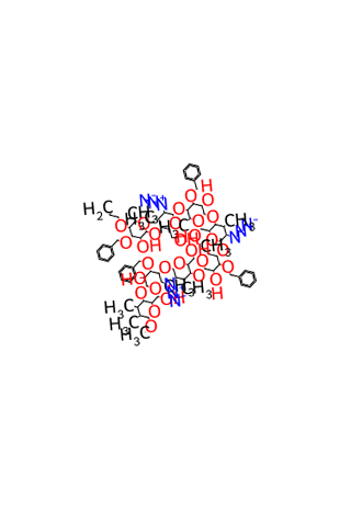 C=CCO[C@@H]1C(C)O[C@@H](O[C@@H]2C(CO)O[C@@H](O[C@H]3C(C)O[C@@H](O[C@@H]4C(CO)O[C@@H](OC5C(C)O[C@@H](O[C@@H]6C(CO)O[C@@H](O[C@@H]7C(C)O[C@@H](O[C@@H]8C(CO)O[C@@H](OC)C(C)[C@H]8C)C(O)[C@@H]7OCc7ccccc7)C(N=[N+]=[N-])[C@H]6C)C(O)[C@@H]5OCc5ccccc5)C(N=[N+]=[N-])[C@H]4C)C(O)[C@@H]3OCc3ccccc3)C(N=[N+]=[N-])[C@H]2C)C(O)[C@@H]1OCc1ccccc1